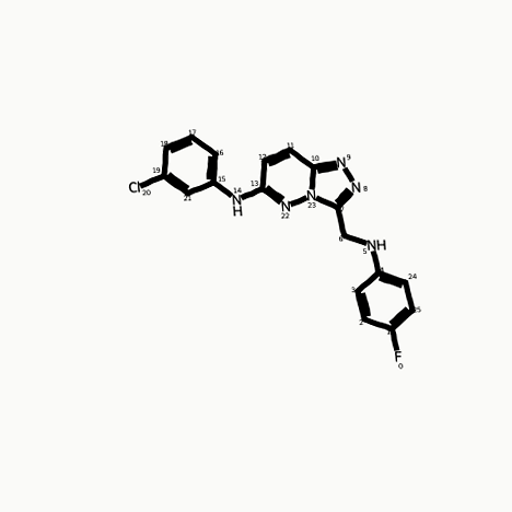 Fc1ccc(NCc2nnc3ccc(Nc4cccc(Cl)c4)nn23)cc1